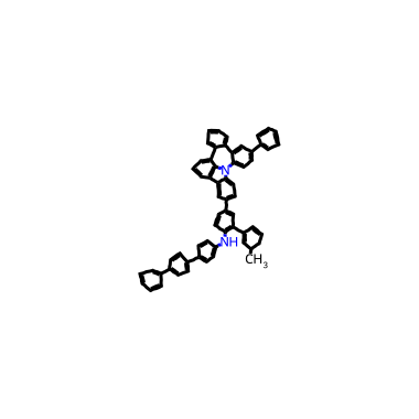 CC1C=C(c2cc(-c3ccc4c(c3)c3cccc5c3n4-c3ccc(-c4ccccc4)cc3-c3ccccc3-5)ccc2Nc2ccc(-c3ccc(-c4ccccc4)cc3)cc2)C=CC1